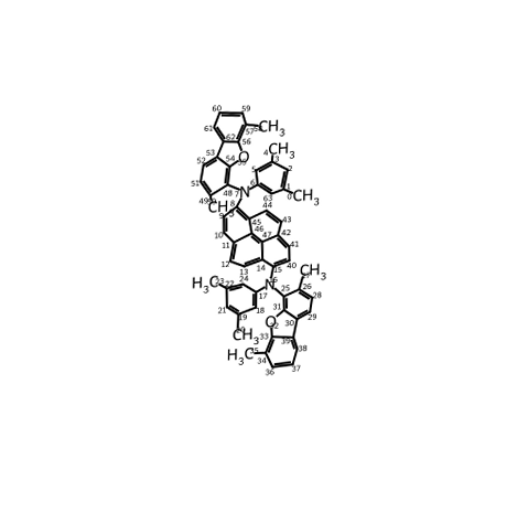 Cc1cc(C)cc(N(c2ccc3ccc4c(N(c5cc(C)cc(C)c5)c5c(C)ccc6c5oc5c(C)cccc56)ccc5ccc2c3c54)c2c(C)ccc3c2oc2c(C)cccc23)c1